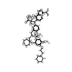 Cc1ccc(C(c2ccn3c(C(F)F)nnc3c2C)C(C)(C)C(=O)O)nc1CN1CC2(CCOCC2)Oc2nc(OCCN3CCCCC3)c(C)cc2S1(=O)=O